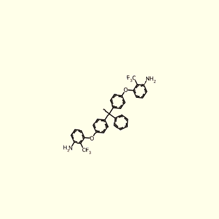 CC(c1ccccc1)(c1ccc(Oc2cccc(N)c2C(F)(F)F)cc1)c1ccc(Oc2cccc(N)c2C(F)(F)F)cc1